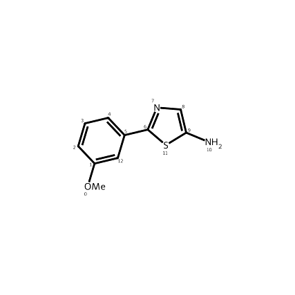 COc1cccc(-c2ncc(N)s2)c1